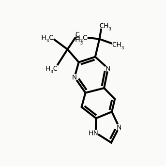 CC(C)(C)c1nc2cc3nc[nH]c3cc2nc1C(C)(C)C